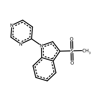 CS(=O)(=O)c1cn(-c2ccncn2)c2ccccc12